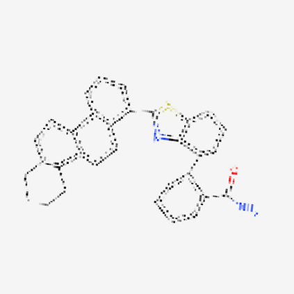 NC(=O)c1ccccc1-c1cccc2sc(-c3cccc4c3ccc3c5c(ccc34)CCCC5)nc12